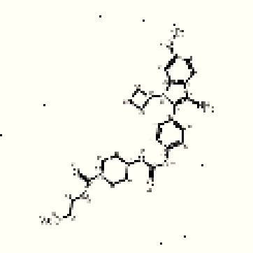 CCOc1ccc2c(N)c(-c3ccc(NC(=O)OC4CCN(C(=O)OCCOC)CC4)cc3)n(C3CCC3)c2c1